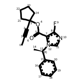 CC#CC1(OC(=O)c2c(F)ncn2[C@H](C)c2ccccc2)CCCC1